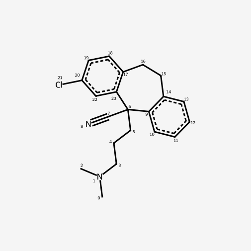 CN(C)CCCC1(C#N)c2ccccc2CCc2ccc(Cl)cc21